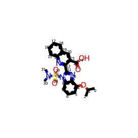 CC(C)Oc1cccc2c1nc(-c1nc3ccccc3cc1C(=O)O)n2S(=O)(=O)N(C)C